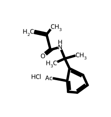 C=C(C)C(=O)NC(C)(C)c1ccccc1C(C)=O.Cl